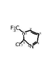 FC(F)(F)N1C=CC=NC1Cl